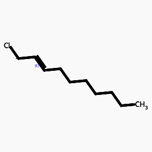 CCCCCCC/C=C/[CH]Cl